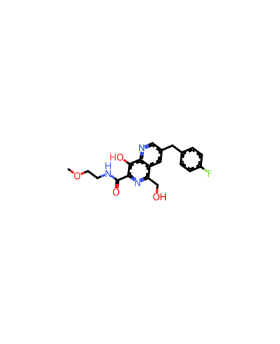 COCCNC(=O)c1nc(CO)c2cc(Cc3ccc(F)cc3)cnc2c1O